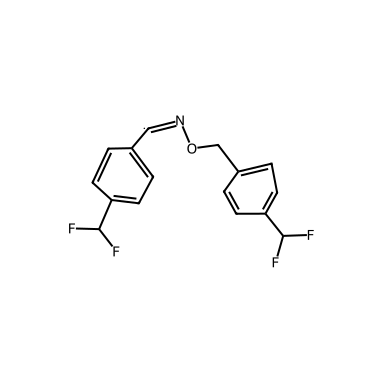 FC(F)c1ccc(/[C]=N\OCc2ccc(C(F)F)cc2)cc1